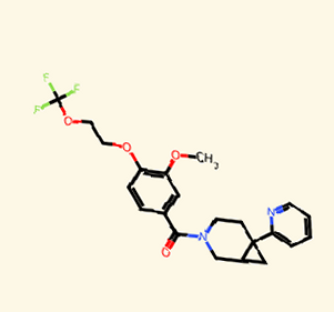 COc1cc(C(=O)N2CCC3(c4ccccn4)CC3C2)ccc1OCCOC(F)(F)F